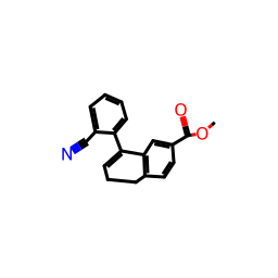 COC(=O)c1ccc2c(c1)C(c1ccccc1C#N)=CCC2